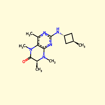 Cc1nc(N[C@H]2C[C@H](C)C2)nc2c1N(C)C(=O)[C@H](C)N2C